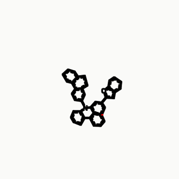 c1ccc(-c2ccccc2N(c2cccc(-c3cc4ccccc4o3)c2)c2ccc3c(ccc4ccccc43)c2)cc1